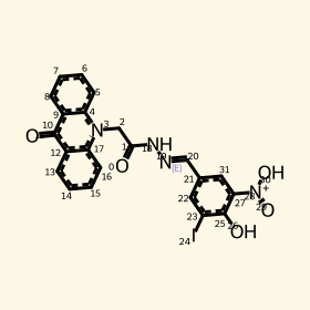 O=C(Cn1c2ccccc2c(=O)c2ccccc21)N/N=C/c1cc(I)c(O)c([N+](=O)O)c1